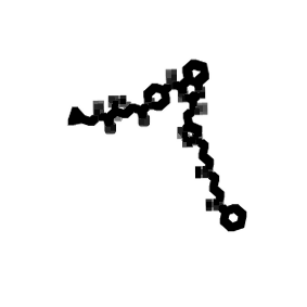 N[C@@H](CCC(=O)N1CCC(Nc2nc(NCc3cn(CCCNCCCNC4CCCCC4)nn3)nc3ccccc23)CC1)C(=O)NCC1CC1